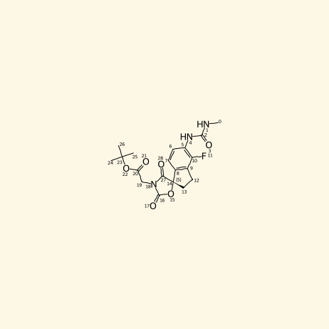 CNC(=O)Nc1ccc2c(c1F)CC[C@]21OC(=O)N(CC(=O)OC(C)(C)C)C1=O